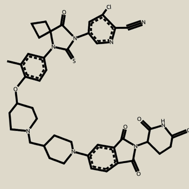 Cc1cc(N2C(=S)N(c3cnc(C#N)c(Cl)c3)C(=O)C23CCC3)ccc1OC1CCN(CC2CCN(c3ccc4c(c3)C(=O)N(C3CCC(=O)NC3=O)C4=O)CC2)CC1